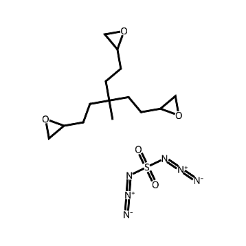 CC(CCC1CO1)(CCC1CO1)CCC1CO1.[N-]=[N+]=NS(=O)(=O)N=[N+]=[N-]